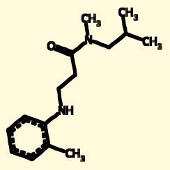 Cc1ccccc1NCCC(=O)N(C)CC(C)C